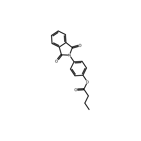 CCCC(=O)Oc1ccc(N2C(=O)c3ccccc3C2=O)cc1